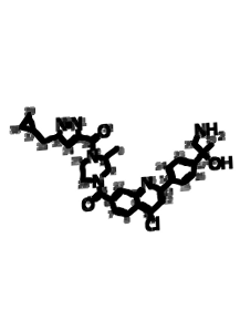 CC1CN(C(=O)c2ccc3c(Cl)cc(-c4ccc(C(C)(O)CN)cc4)nc3c2)CCN1C(=O)C1=CC(CC2CC2)N=N1